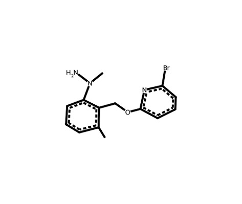 Cc1cccc(N(C)N)c1COc1cccc(Br)n1